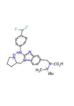 C[C@H](N(Cc1ccc2c(c1)nc(Nc1ccc(C(F)F)cc1)n2CC1CCCN1)C(=O)O)C(C)(C)C